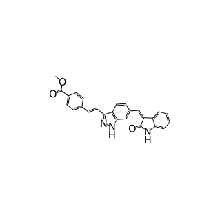 COC(=O)c1ccc(C=Cc2n[nH]c3cc(C=C4C(=O)Nc5ccccc54)ccc23)cc1